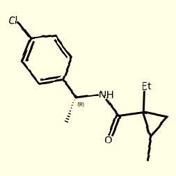 CCC1(C(=O)N[C@H](C)c2ccc(Cl)cc2)CC1C